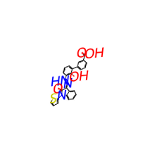 O=C(O)c1cccc(-c2cccc(NN=C3C(=O)N(c4cccs4)c4ccccc43)c2O)c1